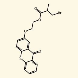 CC(CBr)C(=O)OCCOc1ccc2sc3ccccc3c(=O)c2c1